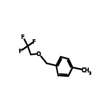 Cc1ccc(COCC(F)(F)F)cc1